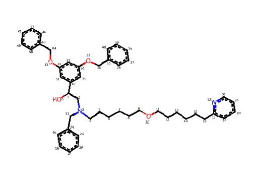 OC(CN(CCCCCCOCCCCCCc1ccccn1)Cc1ccccc1)c1cc(OCc2ccccc2)cc(OCc2ccccc2)c1